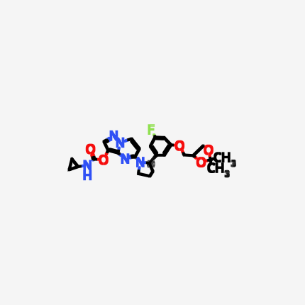 CC1(C)OCC(COc2cc(F)cc([C@H]3CCCN3c3ccn4ncc(OC(=O)NC5CC5)c4n3)c2)O1